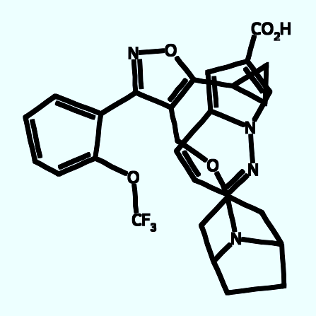 O=C(O)c1cc2ccc(N3C4CCC3CC(OCc3c(-c5ccccc5OC(F)(F)F)noc3C3CC3)C4)nn2c1